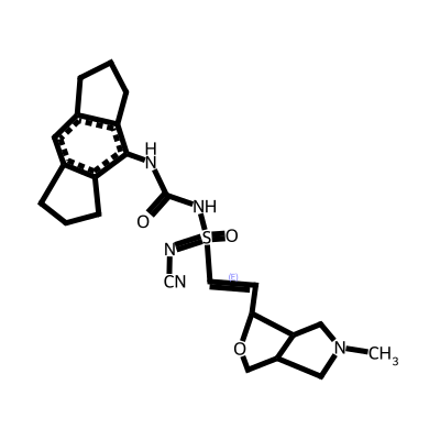 CN1CC2COC(/C=C/S(=O)(=NC#N)NC(=O)Nc3c4c(cc5c3CCC5)CCC4)C2C1